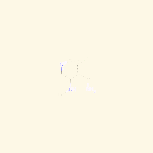 CC(C)Nc1cncc(Cl)c1CN